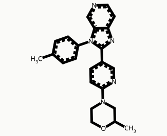 Cc1ccc(-n2c(-c3ccc(N4CCOC(C)C4)nc3)nc3ccncc32)cc1